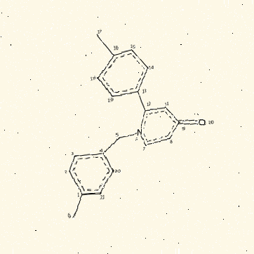 Cc1ccc(Cn2ccc(=O)cc2-c2ccc(C)cc2)cc1